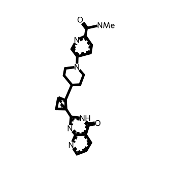 CNC(=O)c1ccc(N2CCC(N3CC4(c5nc6ncccc6c(=O)[nH]5)CC3C4)CC2)cn1